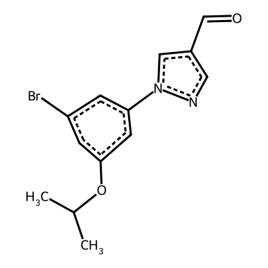 CC(C)Oc1cc(Br)cc(-n2cc(C=O)cn2)c1